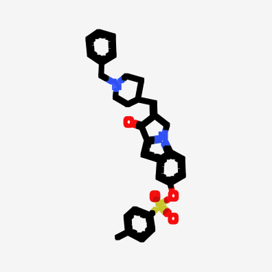 Cc1ccc(S(=O)(=O)Oc2ccc3c(c2)cc2n3C/C(=C/C3CCN(Cc4ccccc4)CC3)C2=O)cc1